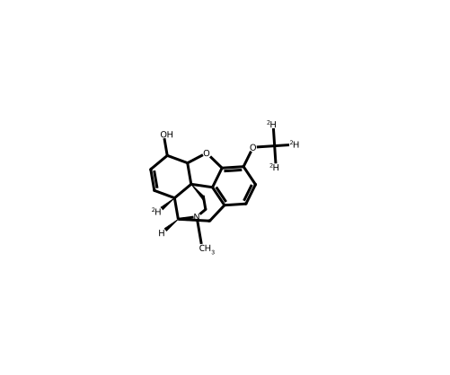 [2H]C([2H])([2H])Oc1ccc2c3c1OC1C(O)C=C[C@@]4([2H])[C@@H](C2)N(C)CC[C@]314